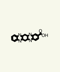 O=C(O)c1ccc2c(c1)=NC1Cc3nc4ccccc4nc3CC1N=2